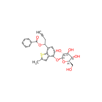 C#CCC(OC(=O)c1ccccc1)c1ccc(O[C@@H]2O[C@H](CO)[C@H](O)[C@H](O)[C@H]2O)c2cc(C)sc12